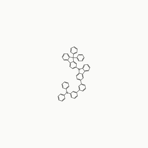 c1ccc(N(c2ccccc2)c2cccc(-c3cccc(-c4ccc5c(c4)c4ccccc4n5-c4ccc5c(c4)C(c4ccccc4)(c4ccccc4)c4ccccc4-5)c3)c2)cc1